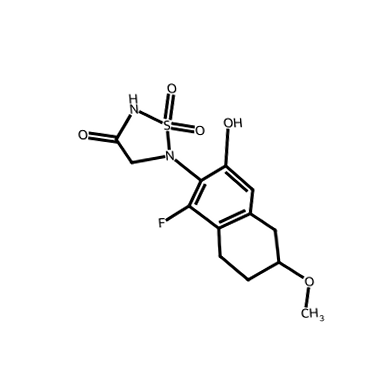 COC1CCc2c(cc(O)c(N3CC(=O)NS3(=O)=O)c2F)C1